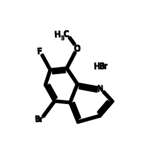 Br.COc1c(F)cc(Br)c2cccnc12